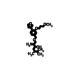 [CH2]C(CC(O)C(N)[CH]OCc1ccc(-c2ccoc2)c(OCCCOC)c1)C(C)C